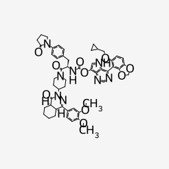 COc1ccc(C2=NN(C3CCN(C(=O)[C@@H](Cc4ccc(N5CCCC5=O)cc4)NC(=O)Oc4c[nH]c5c(-c6c(OCC7CC7)ccc7c6OCO7)ncnc45)CC3)C(=O)[C@@H]3CCCC[C@H]23)cc1OC